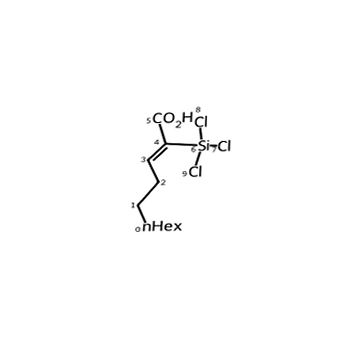 CCCCCCCCC=C(C(=O)O)[Si](Cl)(Cl)Cl